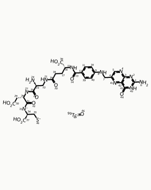 Nc1nc2ncc(CNc3ccc(C(=O)N[C@H](CCC(=O)NC[C@H](N)C(=O)[N-][C@@H](CC(=O)O)C(=O)[N-][C@@H](C[S-])C(=O)O)C(=O)O)cc3)nc2c(=O)[nH]1.[O]=[99Tc+3]